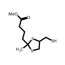 COC(=O)CCCC1(C)SCC(CS)S1